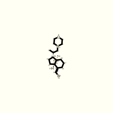 CC(CN1CCOCC1)[C@H]1CC[C@@H]2/C(=C/Br)CCC[C@@]21C